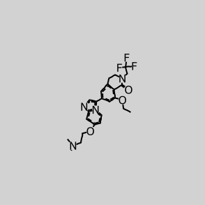 CCOc1cc(-c2cnc3cc(OCCN(C)C)ccn23)cc2c1C(=O)N(CC(F)(F)F)CC2